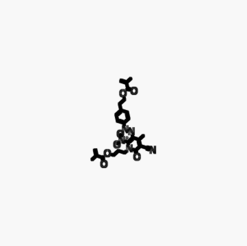 C=C(C)C(=O)OCCCn1c([N+](=O)[O-])c(/N=N/c2ccc(CCOC(=O)C(=C)C)cc2)c(C)c(C#N)c1=O